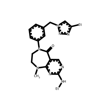 [CH2]Cc1cn(Cc2cccc(N3CCN(C)c4nc(NCC)ncc4C3=O)c2)nn1